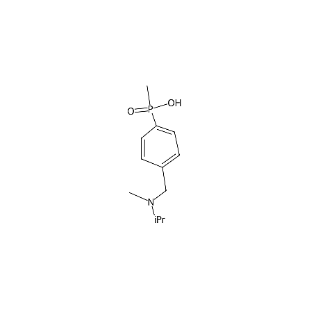 CC(C)N(C)Cc1ccc(P(C)(=O)O)cc1